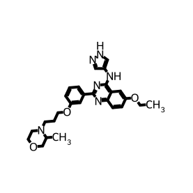 CCOc1ccc2nc(-c3cccc(OCCCN4CCOCC4C)c3)nc(Nc3cn[nH]c3)c2c1